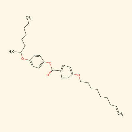 C=CCCCCCCCOc1ccc(C(=O)Oc2ccc(OC(C)CCCCCC)cc2)cc1